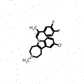 C/C(=C/n1c2c(c3cc(Cl)ccc31)CCN(C)CC2)c1ccc(F)c(F)c1